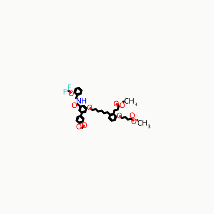 CCOC(=O)CCCOc1cccc(CCCCCCOc2cc(C(=O)NCc3ccccc3OC(F)F)cc(-c3ccc4c(c3)OCO4)c2)c1CCC(=O)OCC